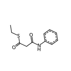 CCSC(=O)CC(=O)Nc1ccccc1